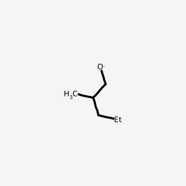 [CH2]CCC(C)C[O]